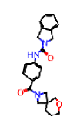 O=C(Nc1ccc(C(=O)N2CC3(CCCOC3)C2)cc1)N1Cc2ccccc2C1